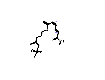 C=C(/C=N\C=C\C(=O)NC)OCCCN(C)CC(F)(F)F